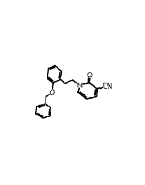 N#Cc1cccn(CCc2ccccc2OCc2ccccc2)c1=O